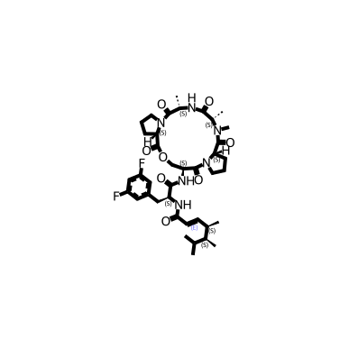 CC(C)[C@H](C)[C@H](C)/C=C/C(=O)N[C@@H](Cc1cc(F)cc(F)c1)C(=O)N[C@H]1COC(=O)[C@@H]2CCCN2C(=O)[C@H](C)NC(=O)[C@H](C)N(C)C(=O)[C@@H]2CCCN2C1=O